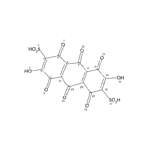 O=c1c(O)c(S(=O)(=O)O)c(=O)c2c(=O)c3c(=O)c(O)c(S(=O)(=O)O)c(=O)c3c(=O)c12